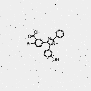 O=C(O)c1cc(-c2nc(-c3ccccc3)[nH]c2-c2ccnc(O)c2)ccc1Br